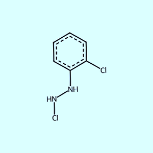 ClNNc1ccccc1Cl